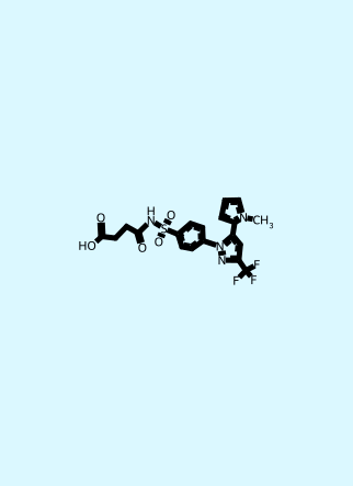 Cn1cccc1-c1cc(C(F)(F)F)nn1-c1ccc(S(=O)(=O)NC(=O)CCC(=O)O)cc1